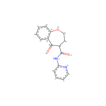 O=C(Nc1ccccn1)C1CCOc2ccccc2C1=O